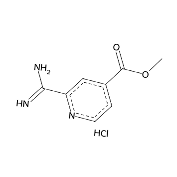 COC(=O)c1ccnc(C(=N)N)c1.Cl